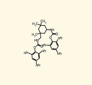 CCCc1cc(CCC)c(OC(=O)NCC2(C)CC(NC(=O)Oc3c(CCC)cc(CCC)cc3CCC)CC(C)(C)C2)c(CCC)c1